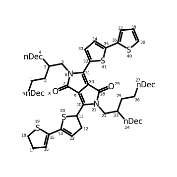 CCCCCCCCCCCCC(CCCCCCCCCC)CN1C(=O)C2=C(C3CC=C(C4=CCCS4)S3)N(CC(CCCCCCCCCC)CCCCCCCCCCCC)C(=O)C2=C1c1ccc(-c2cccs2)s1